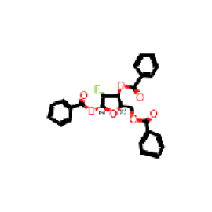 O=C(OC[C@H]1O[C@@H](OC(=O)c2ccccc2)C(F)C1OC(=O)c1ccccc1)c1ccccc1